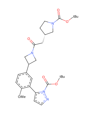 COc1ccc(C2CN(C(=O)C[C@@H]3CCN(C(=O)OC(C)(C)C)C3)C2)cc1-c1ccnn1C(=O)OC(C)(C)C